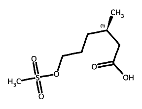 C[C@H](CCCOS(C)(=O)=O)CC(=O)O